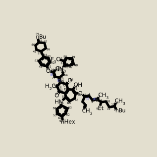 C=CC/C(=C\C=C(/C)C(CC)CCC(C)CCCC)OC1=C(O)C2=C(C(=O)C(=C)/C(=C(\C=C(/C)Oc3ccc(C4CCC(CCCC)CC4)cc3)CNc3ccccc3C(F)(F)F)C2=O)C(Nc2ccc(CCCCCC)cc2)=CC1